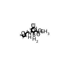 Bc1c(NCc2ccco2)cc(Cl)nc1C(=O)OC